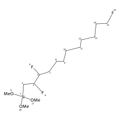 CO[Si](CC(F)C(F)CCCCCCCCCF)(OC)OC